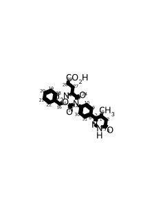 CC1CC(=O)NN=C1c1ccc(N(C(=O)OCc2ccccc2)C(=O)[C@@H](N)CCC(=O)O)cc1